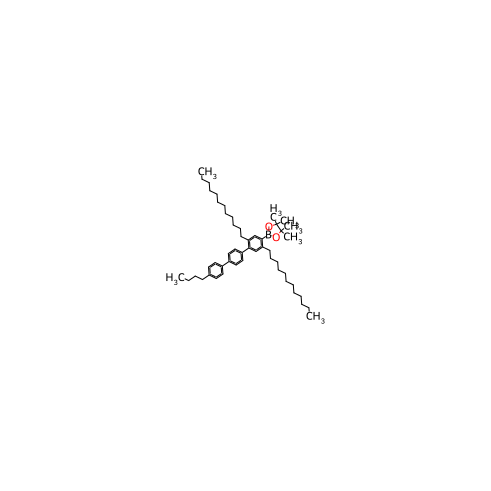 CCCCCCCCCCCCc1cc(-c2ccc(-c3ccc(CCCC)cc3)cc2)c(CCCCCCCCCCCC)cc1B1OC(C)(C)C(C)(C)O1